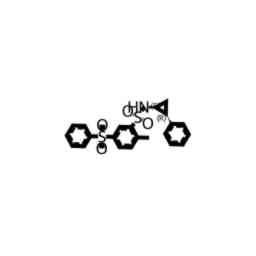 Cc1ccc(S(=O)(=O)c2ccccc2)cc1S(=O)(=O)N[C@H]1C[C@@H]1c1ccccc1